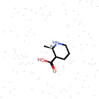 C[C@H]1NCCCC1C(=O)O